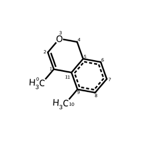 CC1=COCc2cccc(C)c21